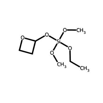 CCO[Si](OC)(OC)OC1CCO1